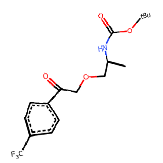 CC(COCC(=O)c1ccc(C(F)(F)F)cc1)NC(=O)OC(C)(C)C